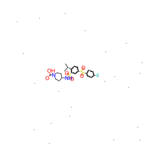 CC(C)c1ccc(S(=O)(=O)c2ccc(F)cc2)cc1S(=O)(=O)NC1CCN(C(=O)O)CC1